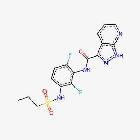 CCCS(=O)(=O)Nc1ccc(F)c(NC(=O)c2n[nH]c3ncccc23)c1F